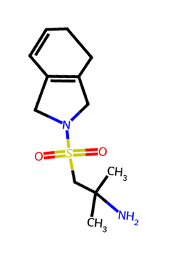 CC(C)(N)CS(=O)(=O)N1CC2=C(CCC=C2)C1